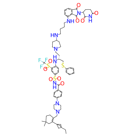 CCC12CC(C3=C(CN4CCN(c5ccc(C(=O)NS(=O)(=O)c6ccc(N[C@H](CCN7CCC(NCCCCNc8cccc9c8C(=O)N(C8CCC(=O)NC8=O)C9=O)CC7)CSc7ccccc7)c(S(=O)(=O)C(F)(F)F)c6)cc5)CC4)CCC(C)(C)C3)(C1)C2